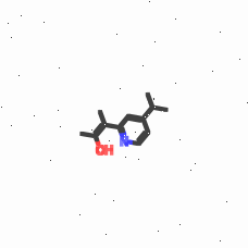 C/C(O)=C(\C)c1cc(C(C)C)ccn1